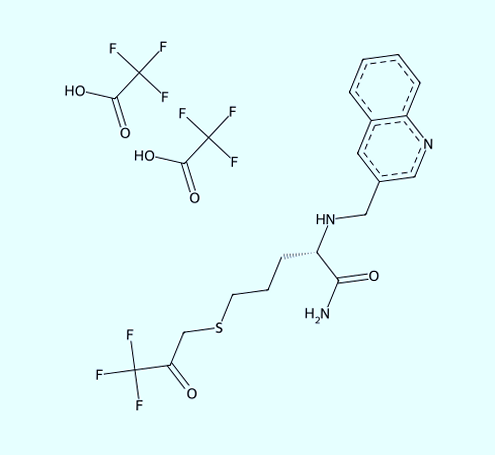 NC(=O)[C@H](CCCSCC(=O)C(F)(F)F)NCc1cnc2ccccc2c1.O=C(O)C(F)(F)F.O=C(O)C(F)(F)F